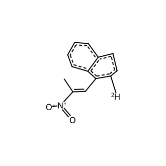 [2H]c1ccc2ccccc2c1C=C(C)[N+](=O)[O-]